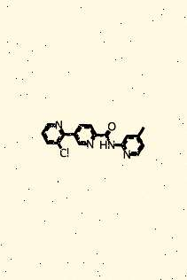 Cc1ccnc(NC(=O)c2ccc(-c3ncccc3Cl)cn2)c1